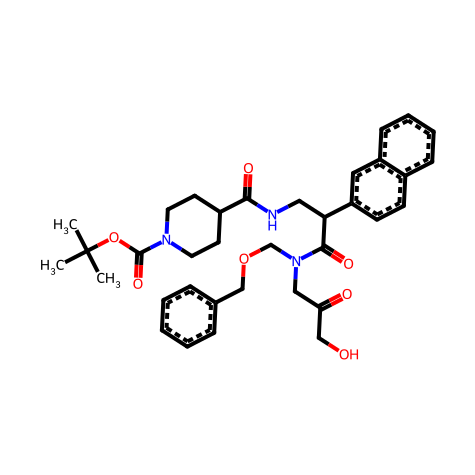 CC(C)(C)OC(=O)N1CCC(C(=O)NCC(C(=O)N(COCc2ccccc2)CC(=O)CO)c2ccc3ccccc3c2)CC1